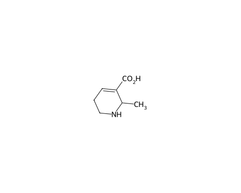 CC1NCCC=C1C(=O)O